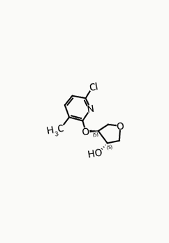 Cc1ccc(Cl)nc1O[C@H]1COC[C@@H]1O